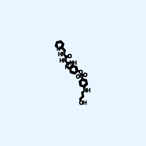 O=C(NCc1ccccn1)Nc1nc2ccc(OS(=O)(=O)c3ccc(NCCCO)cc3)cc2[nH]1